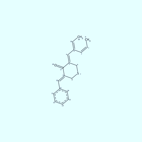 C\C=C/C(/C=C1\CSC/C(=C\c2ccccc2)C1=O)=C\C